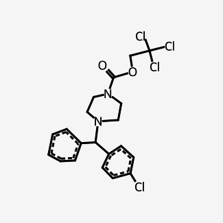 O=C(OCC(Cl)(Cl)Cl)N1CCN(C(c2ccccc2)c2ccc(Cl)cc2)CC1